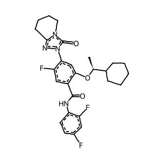 C[C@H](Oc1cc(-n2nc3n(c2=O)CCCC3)c(F)cc1C(=O)Nc1ccc(F)cc1F)C1CCCCC1